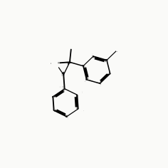 Cc1cccc(C2(C)OC2c2ccccc2)c1